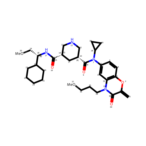 C=C1Oc2ccc(N(C(=O)[C@H]3CNC[C@@H](C(=O)N[C@@H](COC)C4CCCCC4)C3)C3CC3)cc2N(CCCOC)C1=O